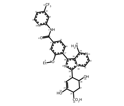 CCOc1cc(C(=O)Nc2cc(C(F)(F)F)ccn2)ccc1-c1nc(C2C=C(O)C(C(=O)O)CC2O)n2ccnc(N)c12